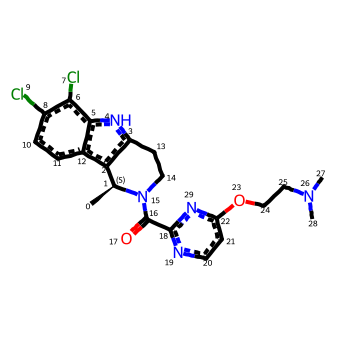 C[C@H]1c2c([nH]c3c(Cl)c(Cl)ccc23)CCN1C(=O)c1nccc(OCCN(C)C)n1